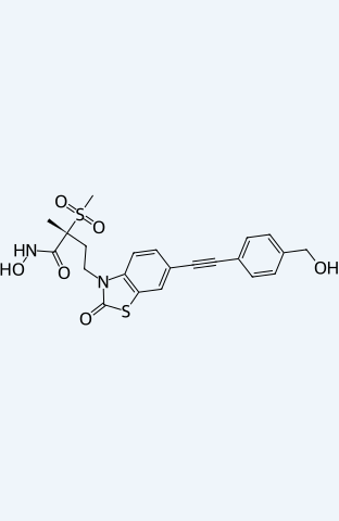 C[C@@](CCn1c(=O)sc2cc(C#Cc3ccc(CO)cc3)ccc21)(C(=O)NO)S(C)(=O)=O